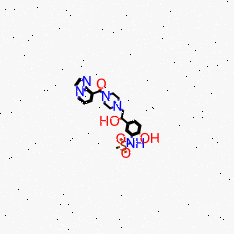 CS(=O)(=O)Nc1cc(C(O)CN2CCN(C(=O)c3cccn4ccnc34)CC2)ccc1O